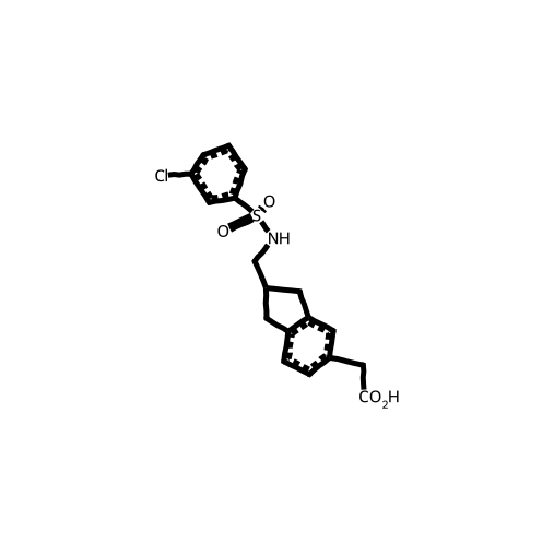 O=C(O)Cc1ccc2c(c1)CC(CNS(=O)(=O)c1cccc(Cl)c1)C2